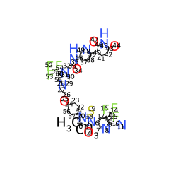 CC1(C)C(=O)N(c2cnc(C#N)c(C(F)(F)F)c2)C(=S)N1[C@H]1CC[C@H](OCCN2CCN(CC(=O)Nc3ccc(C4CCC(=O)NC4=O)nc3)[C@@H](C(F)(F)F)C2)CC1